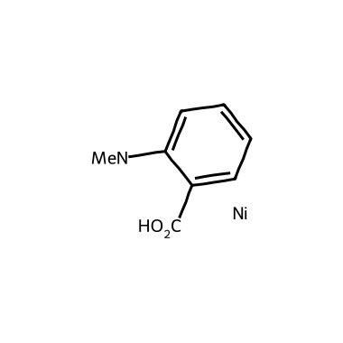 CNc1ccccc1C(=O)O.[Ni]